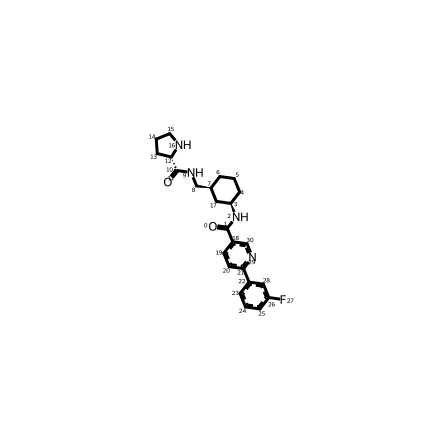 O=C(N[C@@H]1CCC[C@H](CNC(=O)[C@@H]2CCCN2)C1)c1ccc(-c2cccc(F)c2)nc1